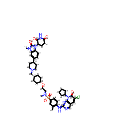 Cc1cc(S(=O)(=O)N(C)CCO[C@H]2CC[C@H](CN3CCC(c4ccc5c(c4)n(C)c(=O)n5C4CCC(=O)NC4=O)CC3)CC2)ccc1Nc1ncc2cc(Cl)c(=O)n(C3CCCC3)c2n1